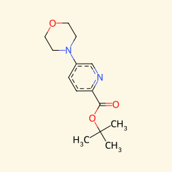 CC(C)(C)OC(=O)c1ccc(N2CCOCC2)cn1